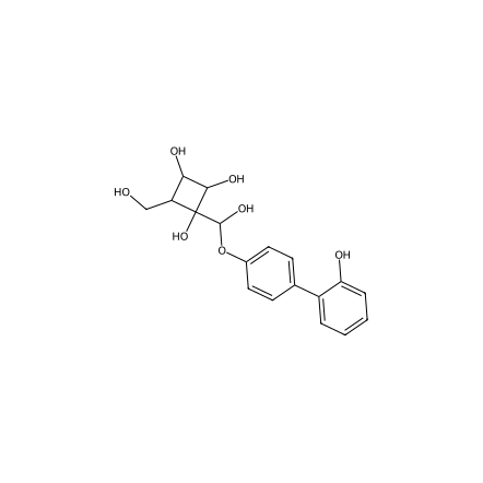 OCC1C(O)C(O)C1(O)C(O)Oc1ccc(-c2ccccc2O)cc1